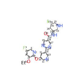 CCOc1cc(F)cnc1Oc1cncc(-c2ncc(C(=O)N[C@@H]3CNC[C@@H](F)C3)cn2)c1